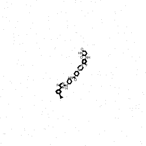 O=C1CCC(Nc2ccc(N3CCN([C@H]4CC[C@H](C(=O)N[C@H]5CC[C@H](Nc6ncc(F)c(-c7cccc(C8CC8)c7)n6)CC5)CC4)CC3)c(F)c2)C(=O)N1